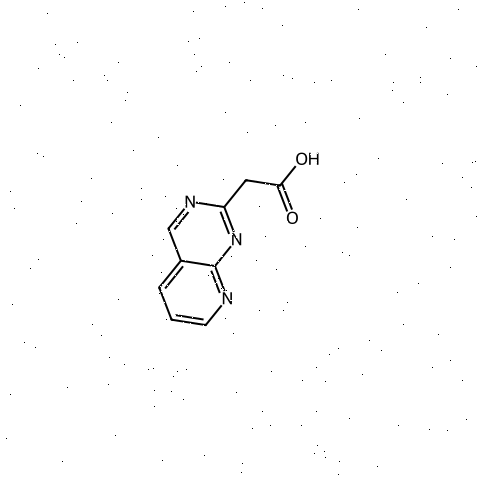 O=C(O)Cc1ncc2cccnc2n1